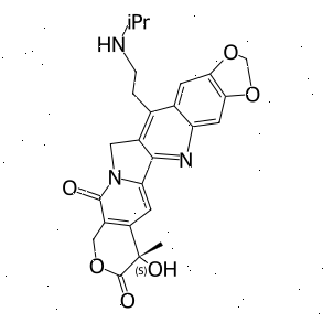 CC(C)NCCc1c2c(nc3cc4c(cc13)OCO4)-c1cc3c(c(=O)n1C2)COC(=O)[C@@]3(C)O